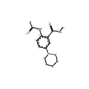 CNC(=O)c1cc(N2CCCCC2)ccc1NC(C)=O